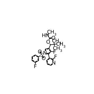 CNC(=O)OC(c1cn(S(=O)(=O)c2cccc(F)c2)c(-c2cccnc2F)c1F)C(C)(C)C